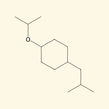 CC(C)CC1CCC(OC(C)C)CC1